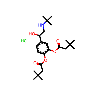 CC(C)(C)CC(=O)Oc1ccc(C(O)CNC(C)(C)C)cc1OC(=O)CC(C)(C)C.Cl